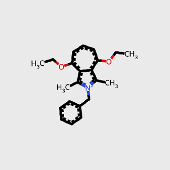 CCOc1cccc(OCC)c2c(C)[n+](Cc3ccccc3)c(C)c1-2